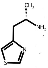 C[C@H](N)Cc1cscn1